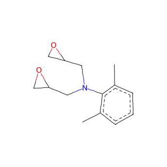 Cc1cccc(C)c1N(CC1CO1)CC1CO1